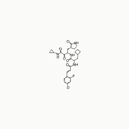 O=C(/C=C/c1ccc(Cl)cc1F)NC(CC1CCC1)C(=O)NC(C[C@@H]1CCNC1=O)C(=O)C(=O)NC1CC1